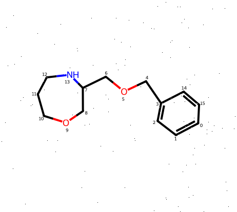 c1ccc(COCC2COCCCN2)cc1